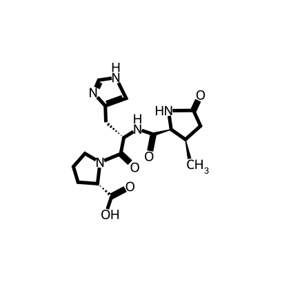 C[C@@H]1CC(=O)N[C@@H]1C(=O)N[C@@H](Cc1c[nH]cn1)C(=O)N1CCC[C@H]1C(=O)O